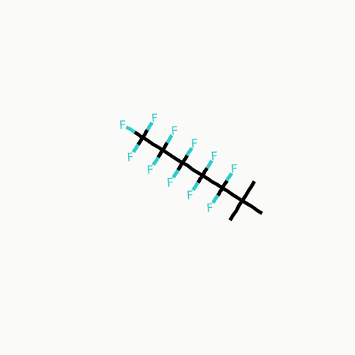 CC(C)(C)C(F)(F)C(F)(F)C(F)(F)C(F)(F)C(F)(F)F